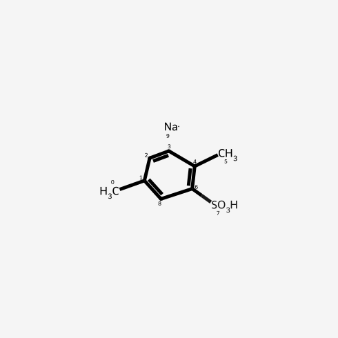 Cc1ccc(C)c(S(=O)(=O)O)c1.[Na]